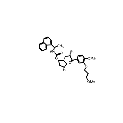 COCCCOc1cc(C(=O)N(C[C@@H]2CNC[C@H]2OC(=O)NC(C)c2cccc3ccccc23)C(C)C)ccc1OC